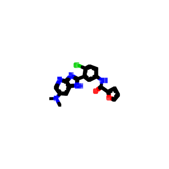 CN(C)c1cnc2nc(-c3cc(NC(=O)c4ccco4)ccc3Cl)[nH]c2c1